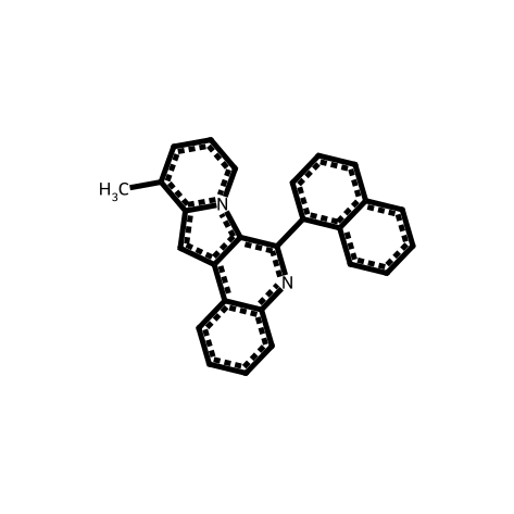 Cc1cccn2c1cc1c3ccccc3nc(-c3cccc4ccccc34)c12